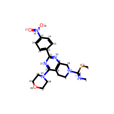 C/N=C(\SC)N1CCc2c(nc(-c3ccc([N+](=O)[O-])cc3)nc2N2CCOCC2)C1